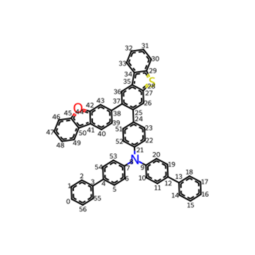 c1ccc(-c2ccc(N(c3ccc(-c4ccccc4)cc3)c3ccc(-c4cc5sc6ccccc6c5cc4-c4ccc5c(c4)oc4ccccc45)cc3)cc2)cc1